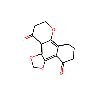 O=C1CCCc2c3c(c4c(c21)OCO4)C(=O)CCO3